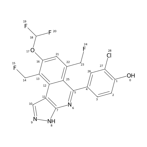 Oc1ccc(-c2nc3[nH]ncc3c3c(CF)c(OC(F)F)cc(CF)c23)cc1Cl